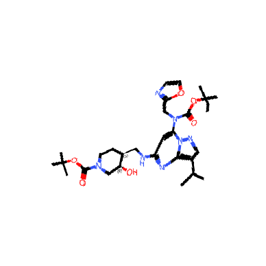 CC(C)c1cnn2c(N(Cc3ncco3)C(=O)OC(C)(C)C)cc(NC[C@@H]3CCN(C(=O)OC(C)(C)C)C[C@@H]3O)nc12